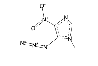 Cn1cnc([N+](=O)[O-])c1N=[N+]=[N-]